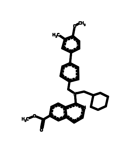 COC(=O)c1ccc2c(N(Cc3ccc(-c4ccc(OC)c(C)c4)cc3)CC3CCCCC3)nccc2c1